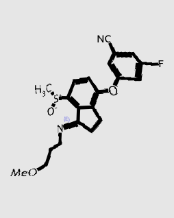 COCCC/N=C1\CCc2c(Oc3cc(F)cc(C#N)c3)ccc([S+](C)[O-])c21